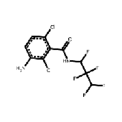 Nc1ccc(Cl)c(C(=O)NC(F)C(F)(F)C(F)F)c1Cl